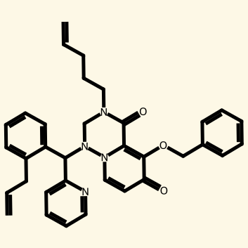 C=CCCCN1CN(C(c2ccccn2)c2ccccc2CC=C)n2ccc(=O)c(OCc3ccccc3)c2C1=O